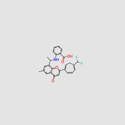 Cc1cc(C(C)Nc2ccccc2C(=O)O)c2oc(C3=CCC(C(F)F)=CC=C3)cc(=O)c2c1